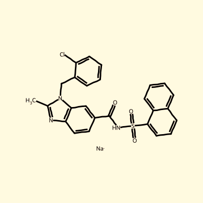 Cc1nc2ccc(C(=O)NS(=O)(=O)c3cccc4ccccc34)cc2n1Cc1ccccc1Cl.[Na]